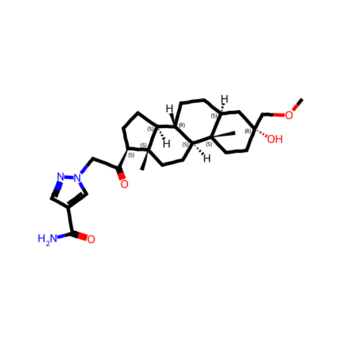 COC[C@@]1(O)CC[C@@]2(C)[C@@H](CC[C@@H]3[C@@H]2CC[C@]2(C)[C@@H](C(=O)Cn4cc(C(N)=O)cn4)CC[C@@H]32)C1